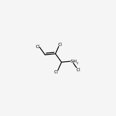 ClC=C(Cl)C(Cl)[SiH2]Cl